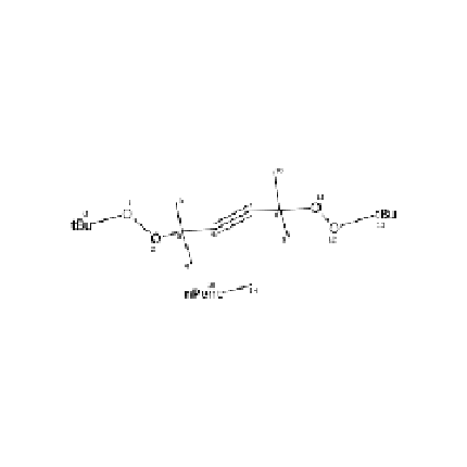 CC(C)(C)OOC(C)(C)C#CC(C)(C)OOC(C)(C)C.CCCCCC